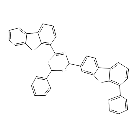 c1ccc(-c2cccc3c2sc2cc(C4N=C(c5cccc6c5sc5ccccc56)NC(c5ccccc5)N4)ccc23)cc1